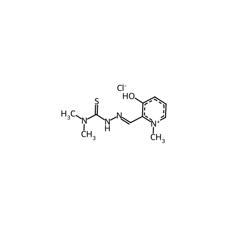 CN(C)C(=S)NN=Cc1c(O)ccc[n+]1C.[Cl-]